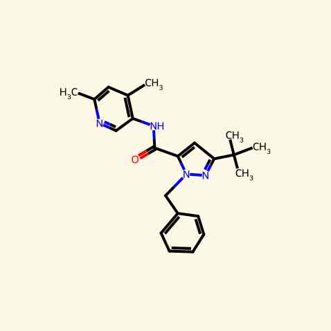 Cc1cc(C)c(NC(=O)c2cc(C(C)(C)C)nn2Cc2ccccc2)cn1